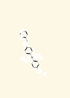 Cc1ccc(C(C)(C)c2ccc(OCc3ccncn3)cc2)cc1